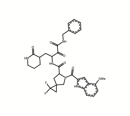 COc1cccc2[nH]c(C(=O)N3CC4(CC3C(=O)NC(CC3CCCNC3=O)C(=O)C(=O)NCc3ccccc3)CC4(F)F)cc12